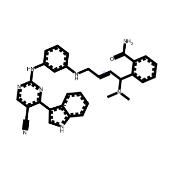 CN(C)C(/C=C/CNc1cccc(Nc2ncc(C#N)c(-c3c[nH]c4ccccc34)n2)c1)c1ccccc1C(N)=O